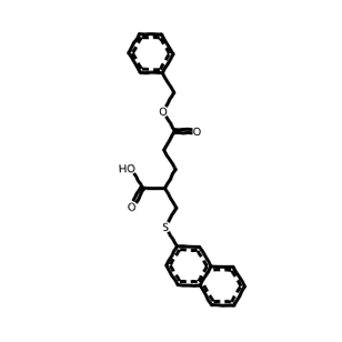 O=C(CCC(CSc1ccc2ccccc2c1)C(=O)O)OCc1ccccc1